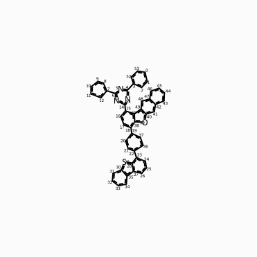 c1ccc(-c2nc(-c3ccccc3)nc(-c3ccc(-c4ccc(-c5cccc6c5sc5ccccc56)cc4)c4oc5cc6ccccc6cc5c34)n2)cc1